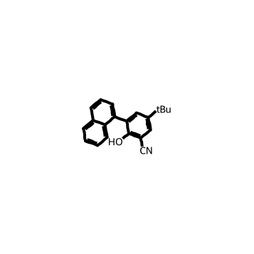 CC(C)(C)c1cc(C#N)c(O)c(-c2cccc3ccccc23)c1